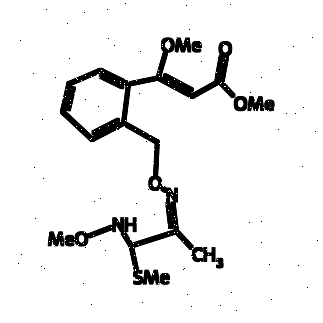 CONC(SC)C(C)=NOCc1ccccc1C(=CC(=O)OC)OC